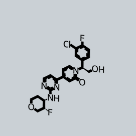 O=c1cc(-c2ccnc(N[C@H]3CCOC[C@H]3F)n2)ccn1[C@H](CO)c1ccc(F)c(Cl)c1